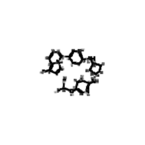 Fc1cnn2c(-c3ccc(N[C@H]4CC[C@H](Nc5ncc(OC(F)F)cn5)C4)nc3)cccc12